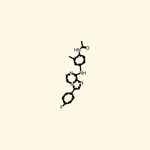 CC(=O)Nc1ccc(Nc2nccn3c(-c4ccc(F)cc4)cnc23)cc1C